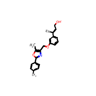 CC/C(=C\CO)c1cccc(OCc2nc(-c3ccc(C(F)(F)F)cc3)oc2C)c1